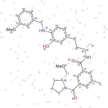 COC[C@H]1CCCN1C(=O)c1cc(C)cc(C(=O)N[C@@H](C)CCc2ccc(NCc3cccc(OC)c3)c(O)c2)c1